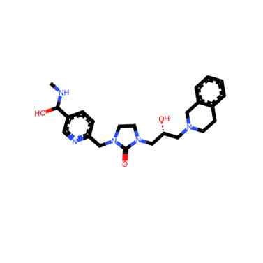 CNC(O)c1ccc(CN2CCN(C[C@H](O)CN3CCc4ccccc4C3)C2=O)nc1